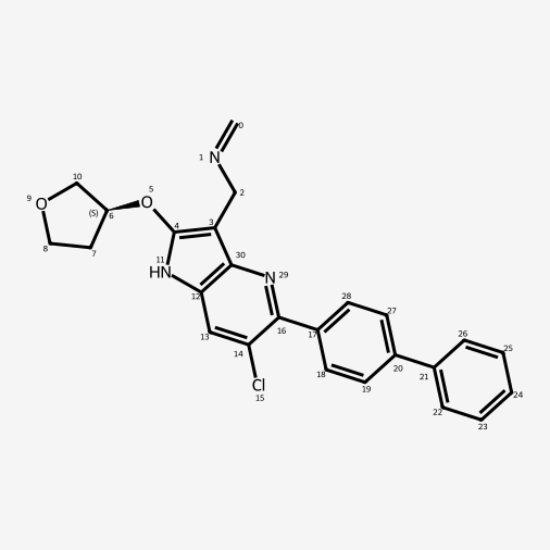 C=NCc1c(O[C@H]2CCOC2)[nH]c2cc(Cl)c(-c3ccc(-c4ccccc4)cc3)nc12